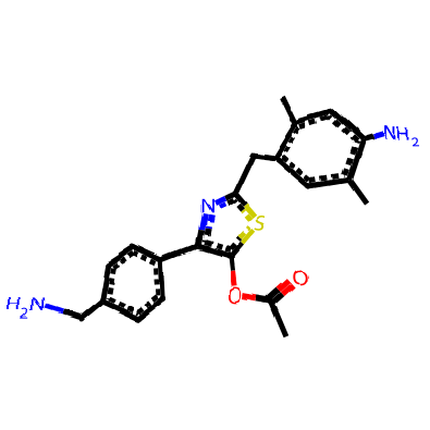 CC(=O)Oc1sc(Cc2cc(C)c(N)cc2C)nc1-c1ccc(CN)cc1